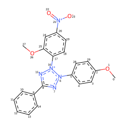 COc1ccc(-n2nc(-c3ccccc3)n[n+]2-c2ccc([N+](=O)[O-])cc2OC)cc1